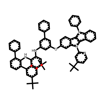 CC(C)(C)c1cc(-c2cccc(-c3ccccc3)c2Nc2ccccc2Nc2cc(Oc3ccc4c(c3)n(-c3cc(C(C)(C)C)ccn3)c3c5ccccc5n(-c5ccccc5)c43)cc(-c3ccccc3)c2)cc(C(C)(C)C)c1